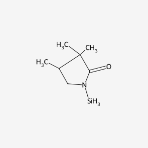 CC1CN([SiH3])C(=O)C1(C)C